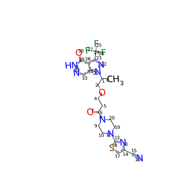 CC(COCCC(=O)N1CCN(c2nc(C#N)cs2)CC1)n1nc(C(F)(F)F)c2c(=O)[nH]ncc21